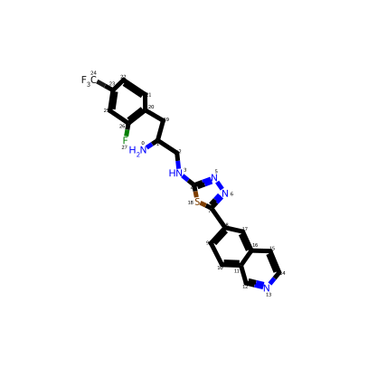 NC(CNc1nnc(-c2ccc3cnccc3c2)s1)Cc1ccc(C(F)(F)F)cc1F